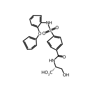 O=C(N[C@H](CO)C(=O)O)c1ccc(S(=O)(=O)Nc2ccccc2Oc2ccccc2)cc1